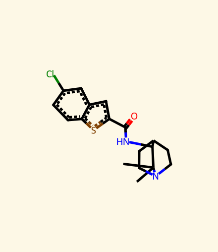 CC1(C)C(NC(=O)c2cc3cc(Cl)ccc3s2)C2CCN1CC2